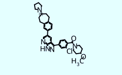 COC1CCN(C(=O)c2ccc(-c3n[nH]c4ncc(-c5ccc6c(c5)CC[C@@H](N5CCCC5)CC6)cc34)cc2Cl)CC1